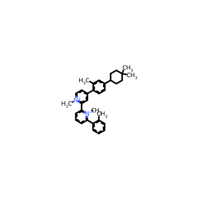 Cc1cc(C2CCC(C)(C)CC2)ccc1-c1cc[n+](C)c(-c2cccc(-c3ccccc3C)[n+]2C)c1